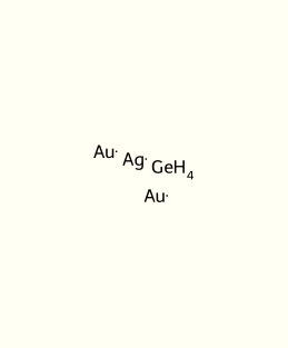 [Ag].[Au].[Au].[GeH4]